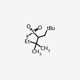 CCC(C)(C)C(CC(C)(C)C)S(=O)(=O)F